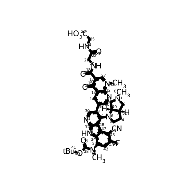 CN1C[C@@H]2CCN(c3c(-c4cnc5c(c4)c(=O)c(C(=O)NCC(=O)NCC(=O)O)cn5C)cnc4[nH]c5c(N(C)C(=O)OC(C)(C)C)cc(F)c(C#N)c5c34)[C@@H]2C1